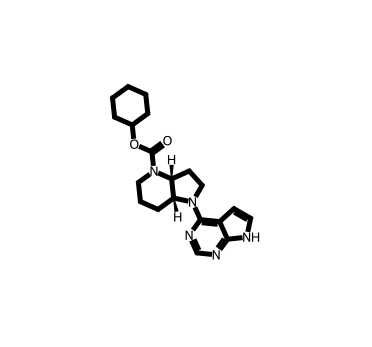 O=C(OC1CCCCC1)N1CCC[C@@H]2[C@H]1CCN2c1ncnc2[nH]ccc12